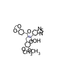 COc1ccc(C/C(C(=O)c2ccc3c(c2)OCCO3)=C(\C(=O)O)c2ccc3nsnc3c2)cc1OC